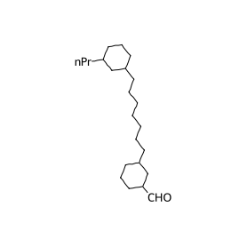 CCCC1CCCC(CCCCCCCC2CCCC(C=O)C2)C1